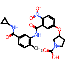 Cc1ccc(C(=O)NC2CC2)cc1NC(=O)c1cc(OC2CCN(C(=O)O)C2)ccc1[N+](=O)[O-]